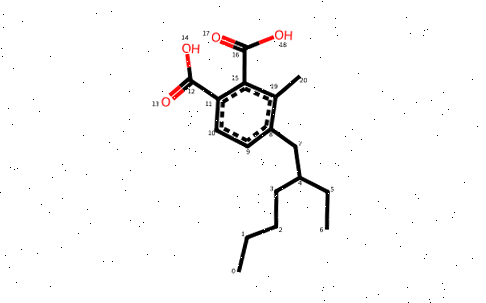 CCCCC(CC)Cc1ccc(C(=O)O)c(C(=O)O)c1C